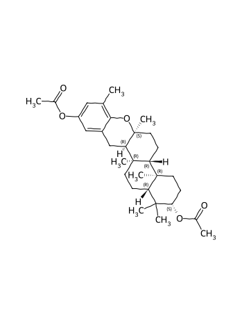 CC(=O)Oc1cc(C)c2c(c1)C[C@@H]1[C@]3(C)CC[C@H]4C(C)(C)[C@@H](OC(C)=O)CC[C@]4(C)[C@H]3CC[C@]1(C)O2